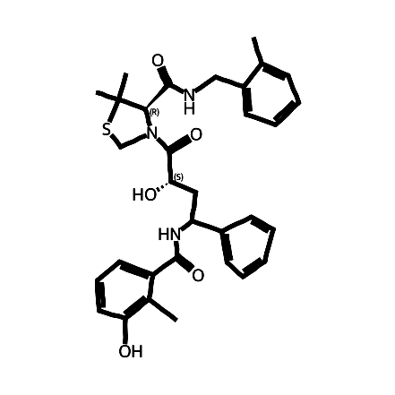 Cc1ccccc1CNC(=O)[C@H]1N(C(=O)[C@@H](O)CC(NC(=O)c2cccc(O)c2C)c2ccccc2)CSC1(C)C